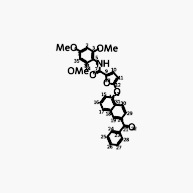 COc1cc(OC)c(NC(=O)c2ccc(Oc3cccc4cc(C(=O)c5ccccc5)ccc34)o2)c(OC)c1